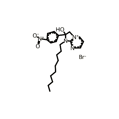 CCCCCCCCCCN1c2nccc[n+]2CC1(O)c1ccc([N+](=O)[O-])cc1.[Br-]